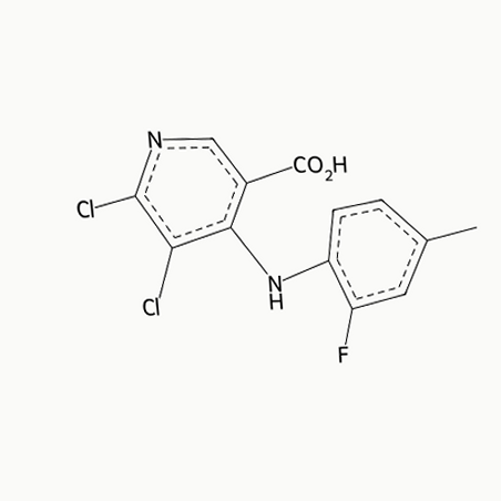 Cc1ccc(Nc2c(C(=O)O)cnc(Cl)c2Cl)c(F)c1